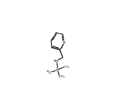 C[Si](C)(C)NCc1ccccn1